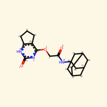 O=C(COc1nc(=O)[nH]c2c1CCC2)NC12CC3CC(CC(C3)C1)C2